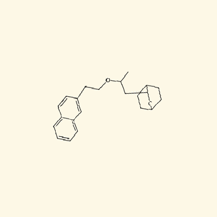 CC(CC1CC2CCC1CC2)OCCc1ccc2ccccc2c1